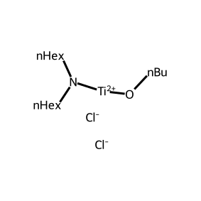 CCCCCC[N](CCCCCC)[Ti+2][O]CCCC.[Cl-].[Cl-]